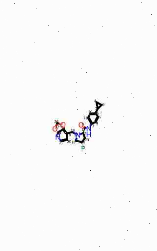 O=C(Nc1ccc(C2CC2)cc1)[C@H]1C[C@H](F)CN1Cc1ccnc2c1OCO2